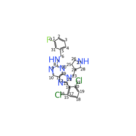 Fc1cccc(CNc2ncc3nc(-c4c(Cl)cccc4Cl)n(CC4CCNC4)c3n2)c1